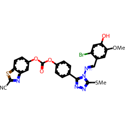 COc1cc(/C=N/n2c(SC)nnc2-c2ccc(OC(=O)Oc3ccc4sc(C#N)nc4c3)cc2)c(Br)cc1O